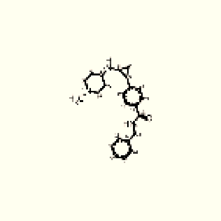 CN1CCC(NC2CC2c2ccc(C(=O)NCc3ccccc3)cc2)CC1